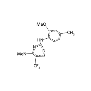 CNc1nc(Nc2ccc(C)cc2OC)ncc1C(F)(F)F